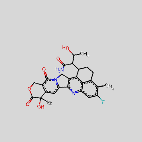 CCC1(O)C(=O)OCc2c1cc1n(c2=O)Cc2c-1nc1cc(F)c(C)c3c1c2C(C(C(N)=O)C(C)O)CC3